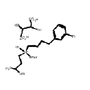 CCCCCC[N+](CCC)(CCCCc1cccc(CC)c1)CCC(C)CCCC.O=C(O)C(O)C(O)C(=O)O